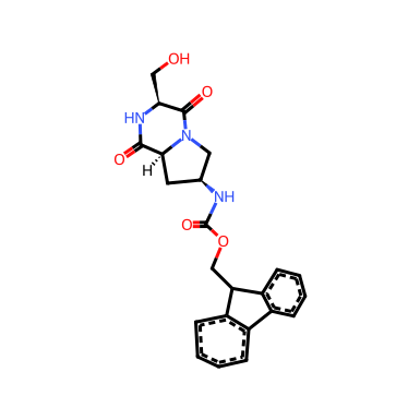 O=C(N[C@H]1C[C@H]2C(=O)N[C@@H](CO)C(=O)N2C1)OCC1c2ccccc2-c2ccccc21